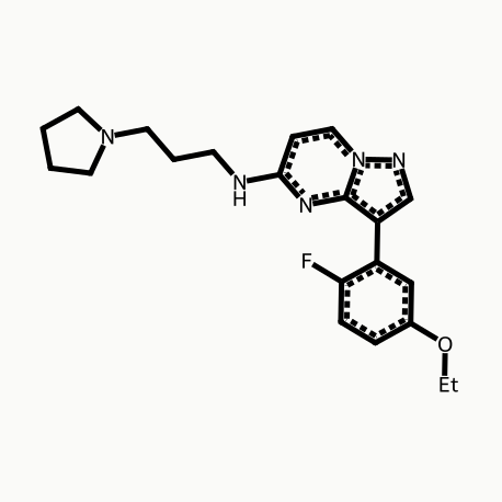 CCOc1ccc(F)c(-c2cnn3ccc(NCCCN4CCCC4)nc23)c1